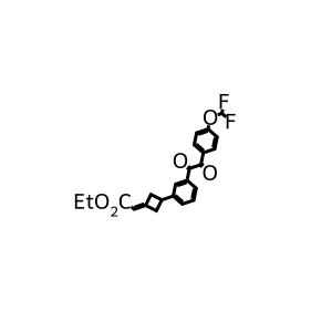 CCOC(=O)C=C1CC(c2cccc(C(=O)C(=O)c3ccc(OC(F)F)cc3)c2)C1